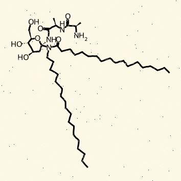 CCCCCCCCCCCCCCCCCCN(C(=O)CCCCCCCCCCCCCCCCC)[C@@]1(NC(=O)[C@@H](C)NC(=O)[C@@H](C)N)C[C@@H](O)[C@H](O)[C@@H](CO)O1